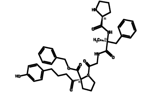 C[C@@](Cc1ccccc1)(NC(=O)[C@@H]1CCCN1)C(=O)NCC(=O)N1CCC[C@@]1(C(=O)CCCc1ccc(O)cc1)C(=O)OCc1ccccc1